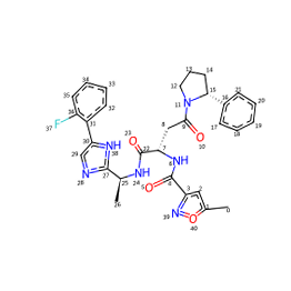 Cc1cc(C(=O)N[C@@H](CC(=O)N2CCC[C@@H]2c2ccccc2)C(=O)N[C@@H](C)c2ncc(-c3ccccc3F)[nH]2)no1